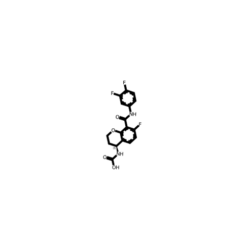 O=C(O)N[C@H]1CCOc2c1ccc(F)c2C(=O)Nc1ccc(F)c(F)c1